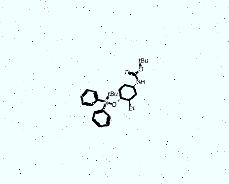 CC[C@@H]1C[C@@H](NC(=O)OC(C)(C)C)CC[C@H]1O[Si](c1ccccc1)(c1ccccc1)C(C)(C)C